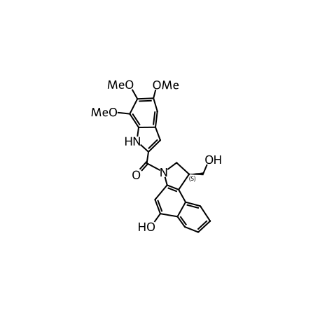 COc1cc2cc(C(=O)N3C[C@@H](CO)c4c3cc(O)c3ccccc43)[nH]c2c(OC)c1OC